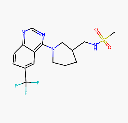 CS(=O)(=O)NCC1CCCN(c2ncnc3ccc(C(F)(F)F)cc23)C1